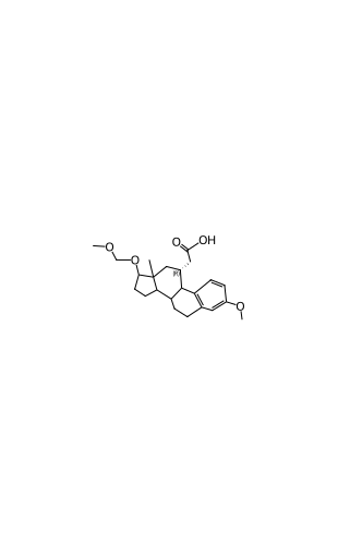 COCOC1CCC2C3CCc4cc(OC)ccc4C3[C@@H](CC(=O)O)CC12C